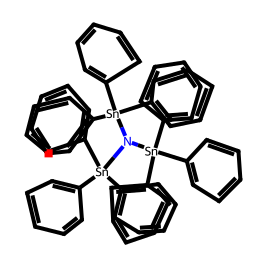 c1cc[c]([Sn]([c]2ccccc2)([c]2ccccc2)[N]([Sn]([c]2ccccc2)([c]2ccccc2)[c]2ccccc2)[Sn]([c]2ccccc2)([c]2ccccc2)[c]2ccccc2)cc1